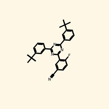 CC(C)(C)c1cccc(-c2nc(-c3cccc(C(C)(C)C)c3)nc(-c3cc(C#N)ccc3F)n2)c1